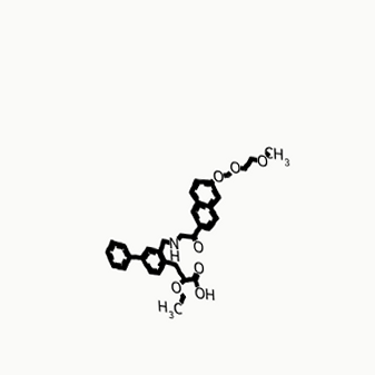 CCOC(Cc1ccc(-c2ccccc2)cc1CNCC(=O)c1ccc2cc(OCOCCOC)ccc2c1)C(=O)O